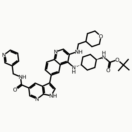 CC(C)(C)OC(=O)N[C@H]1CC[C@H](Nc2c(NCC3CCOCC3)cnc3ccc(-c4c[nH]c5ncc(C(=O)NCc6cccnc6)cc45)cc23)CC1